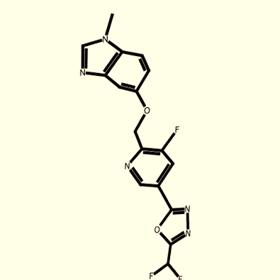 Cn1cnc2cc(OCc3ncc(-c4nnc(C(F)F)o4)cc3F)ccc21